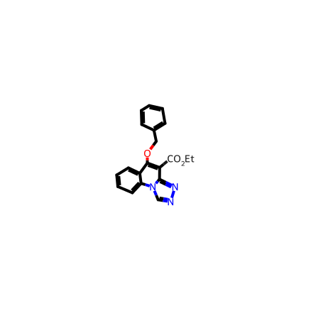 CCOC(=O)c1c(OCc2ccccc2)c2ccccc2n2cnnc12